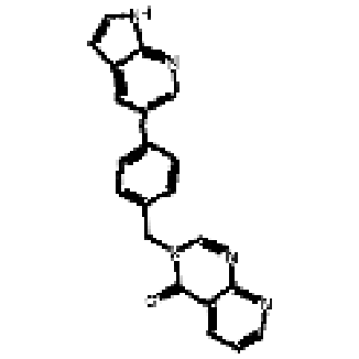 O=c1c2cccnc2ncn1Cc1ccc(-c2cnc3[nH]ccc3c2)cc1